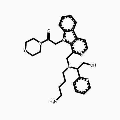 NCCCCN(Cc1nccc2c3ccccc3n(CC(=O)N3CCOCC3)c12)C(CO)c1ccccn1